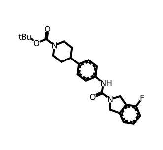 CC(C)(C)OC(=O)N1CCC(c2ccc(NC(=O)N3Cc4cccc(F)c4C3)cc2)CC1